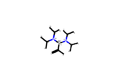 C=C(C)[SiH](N(C(C)C)C(C)C)N(C(C)C)C(C)C